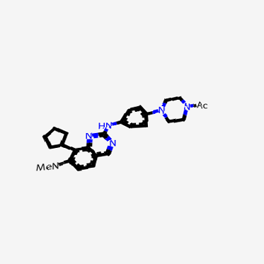 CNc1ccc2cnc(Nc3ccc(N4CCN(C(C)=O)CC4)cc3)nc2c1C1CCCC1